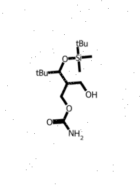 CC(C)(C)C(O[Si](C)(C)C(C)(C)C)C(CO)COC(N)=O